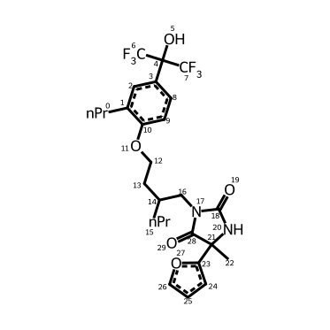 CCCc1cc(C(O)(C(F)(F)F)C(F)(F)F)ccc1OCCC(CCC)CN1C(=O)NC(C)(c2ccco2)C1=O